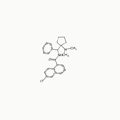 CN(C)C1(C(NC(=O)c2cccc3cc(Cl)ccc23)c2ccccc2)CCCC1